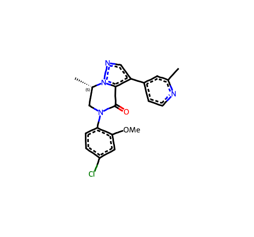 COc1cc(Cl)ccc1N1C[C@H](C)n2ncc(-c3ccnc(C)c3)c2C1=O